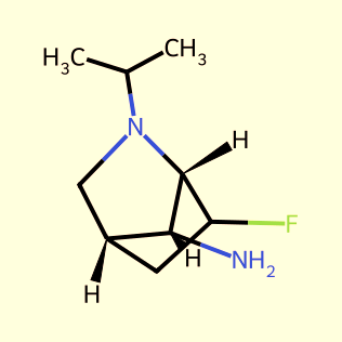 CC(C)N1C[C@H]2CC(F)[C@@H]1[C@@H]2N